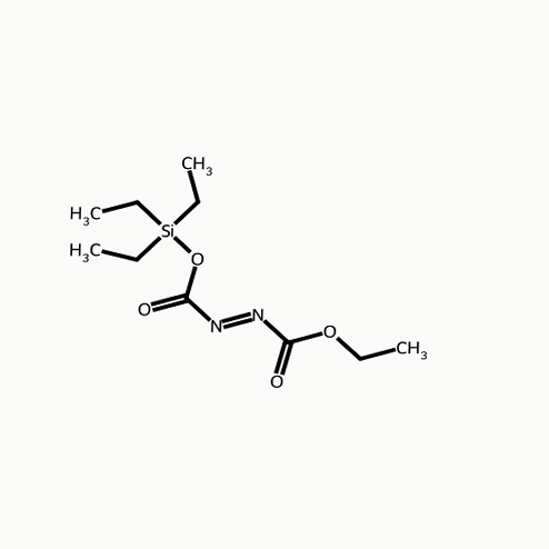 CCOC(=O)N=NC(=O)O[Si](CC)(CC)CC